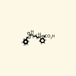 O=C(O)NC1CCCCC1NCCCNC(=O)OCc1ccccc1